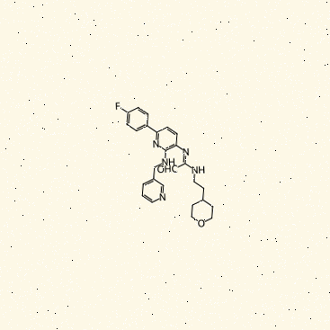 O=C/C(=N\c1ccc(-c2ccc(F)cc2)nc1NCc1cccnc1)NCCC1CCOCC1